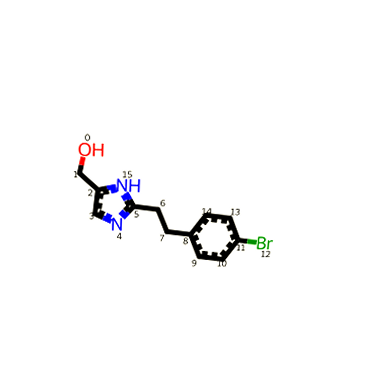 OCc1cnc(CCc2ccc(Br)cc2)[nH]1